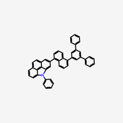 c1ccc(-c2cc(-c3ccccc3)cc(-c3cccc4c(-c5cc6ccc7cccc8c7c6c(c5)n8-c5ccccc5)cccc34)c2)cc1